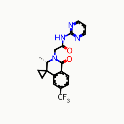 C[C@@H]1N(CC(=O)Nc2ncccn2)C(=O)c2ccc(C(F)(F)F)cc2C12CC2